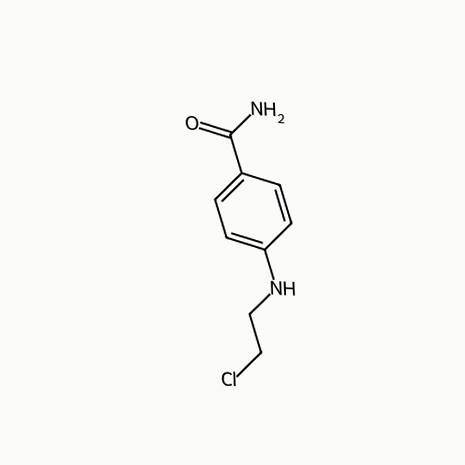 NC(=O)c1ccc(NCCCl)cc1